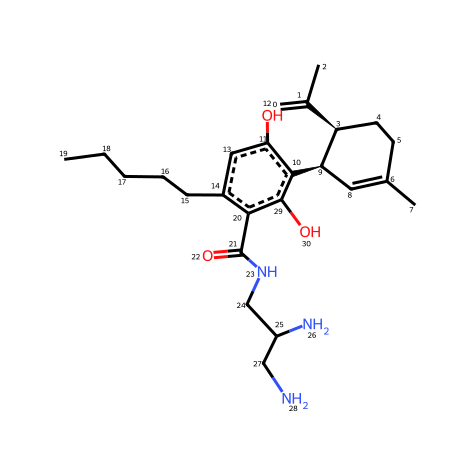 C=C(C)[C@H]1CCC(C)=C[C@H]1c1c(O)cc(CCCCC)c(C(=O)NCC(N)CN)c1O